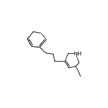 CC1C=C(CCCC2=CCCC=C2)CNC1